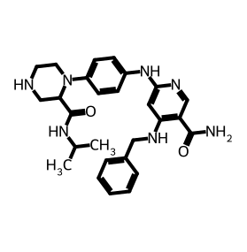 CC(C)NC(=O)C1CNCCN1c1ccc(Nc2cc(NCc3ccccc3)c(C(N)=O)cn2)cc1